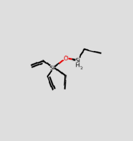 C=C[Si](C=C)(CC)O[SiH2]CC